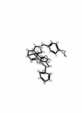 COc1ccc(CN2CC3CC4C=NC3(C(=O)NCc3ccccc3)C2C4CC(C)C)cc1